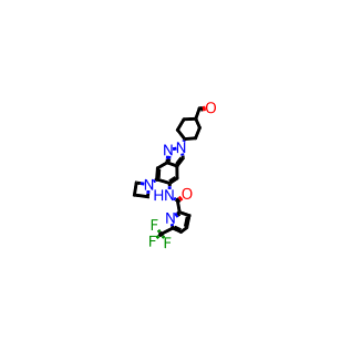 O=CC1CCC(n2cc3cc(NC(=O)c4cccc(C(F)(F)F)n4)c(N4CCC4)cc3n2)CC1